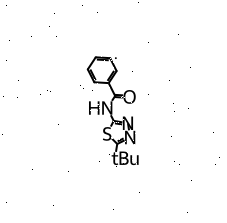 CC(C)(C)c1nnc(NC(=O)c2c[c]ccc2)s1